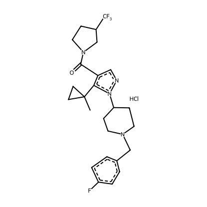 CC1(c2c(C(=O)N3CCC(C(F)(F)F)C3)cnn2C2CCN(Cc3ccc(F)cc3)CC2)CC1.Cl